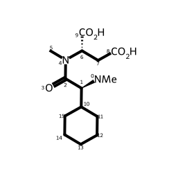 CN[C@H](C(=O)N(C)[C@@H](CC(=O)O)C(=O)O)C1CCCCC1